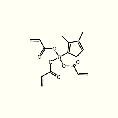 C=CC(=O)[O][Ti]([O]C(=O)C=C)([O]C(=O)C=C)[C]1=C(C)C(C)=CC1